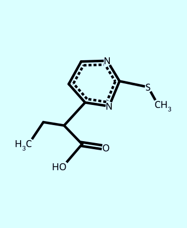 CCC(C(=O)O)c1ccnc(SC)n1